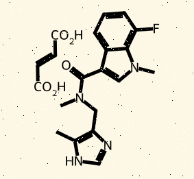 Cc1[nH]cnc1CN(C)C(=O)c1cn(C)c2c(F)cccc12.O=C(O)C=CC(=O)O